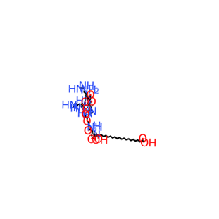 N=C(N)NCCC[C@@H]([C]=O)NC(=O)[C@H](Cc1c[nH]cn1)NC(=O)[C@H](Cc1c[nH]cn1)NC(=O)COCCOCCNC(=O)CC[C@H](NC(=O)CCCCCCCCCCCCCCCCCCC(=O)O)C(=O)O